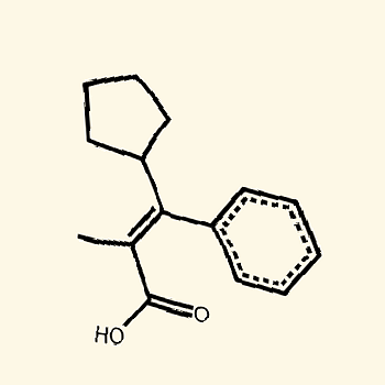 C/C(C(=O)O)=C(/c1ccccc1)C1CCCC1